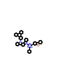 c1ccc(-c2nc(-c3ccc4c(c3)oc3ccccc34)nc(-n3c4ccccc4c4c3ccc3c5ccccc5n(-c5ccc6c7ccccc7c7ccccc7c6c5)c34)n2)cc1